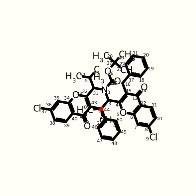 CC(C)C(c1oc2cc(Cl)ccc2c(=O)c1Cc1ccccc1)N(C(=O)OC(C)(C)C)C(c1oc2cc(Cl)ccc2c(=O)c1Cc1ccccc1)C(C)C